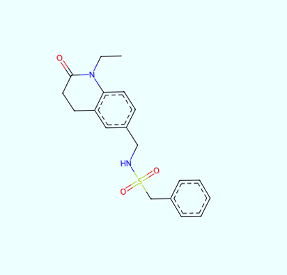 CCN1C(=O)CCc2cc(CNS(=O)(=O)Cc3ccccc3)ccc21